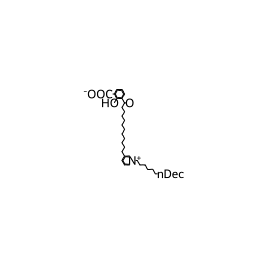 CCCCCCCCCCCCCCCC[n+]1cccc(CCCCCCCCCCCC(=O)c2cccc(C(=O)[O-])c2O)c1